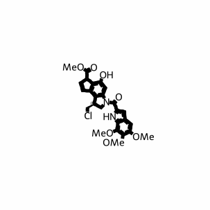 COC(=O)C1C=Cc2c1c(O)cc1c2[C@H](CCl)CN1C(=O)c1cc2cc(OC)c(OC)c(OC)c2[nH]1